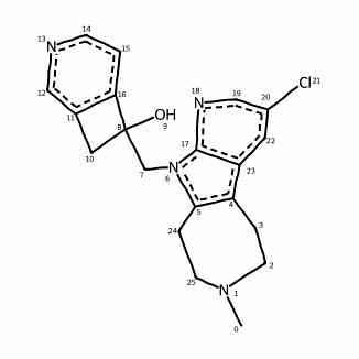 CN1CCc2c(n(CC3(O)Cc4cnccc43)c3ncc(Cl)cc23)CC1